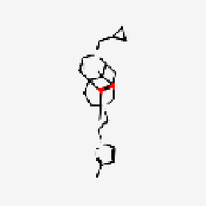 Cc1ccn(CCN2CCC34CCN(CC5CC5)C(Cc5ccc(O)cc53)C4(O)CC2)n1